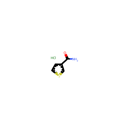 Cl.NC(=O)c1ccsc1